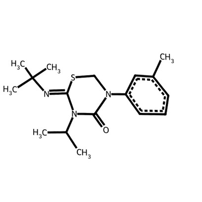 Cc1cccc(N2CSC(=NC(C)(C)C)N(C(C)C)C2=O)c1